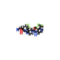 N#CC[C@]1(O)CCC(F)(F)c2c3c(nn2C1)CCN(C(=O)Nc1ccnc(C(F)F)c1F)C3